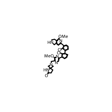 COc1nc(-c2cccc(-c3cccc(-c4cc5c(c(OC)n4)CCNC5)c3Cl)c2Cl)cnc1CN1CC2(CCC(=O)N2)C1